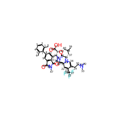 Cc1cccc(C)c1-c1cc2c(c([C@H](CC(=O)O)[N+]34CC3=C3C=C(C(F)(F)F)C(CCN(C)C)=CN3[C@@H](CC(C)C)C4=O)c1)C(=O)N(C)C2=O